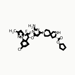 Cc1ccn(-c2cc(Cl)ccc2[C@@H](Oc2cc(N3CCC4(CC3)CN[C@H](C(=O)OC3CCCC3)C4)nc(N)n2)C(F)(F)F)n1